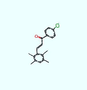 Cc1cc(C)c(C)c(C=CC(=O)c2ccc(Cl)cc2)c1C